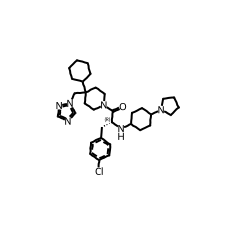 O=C([C@@H](Cc1ccc(Cl)cc1)NC1CCC(N2CCCC2)CC1)N1CCC(Cn2cncn2)(C2CCCCC2)CC1